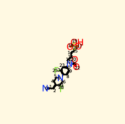 N#CC=C1CCN(c2ccc(N3CC(CCS(=O)(=O)O)OC3=O)cc2F)CC1F